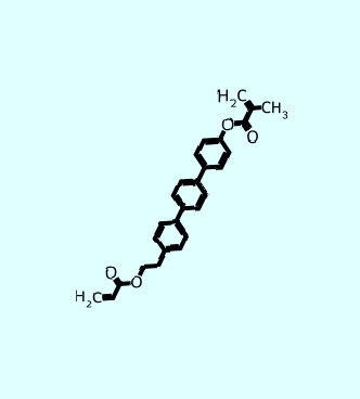 C=CC(=O)OCCc1ccc(-c2ccc(-c3ccc(OC(=O)C(=C)C)cc3)cc2)cc1